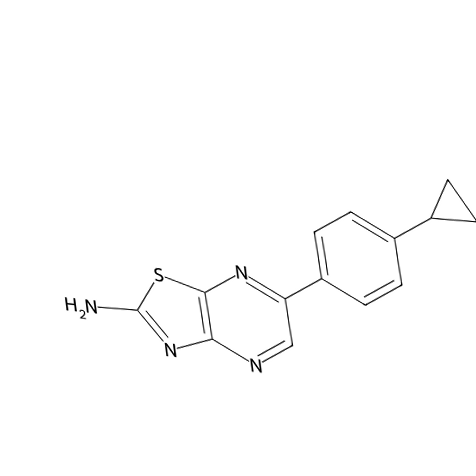 Nc1nc2ncc(-c3ccc(C4CC4)cc3)nc2s1